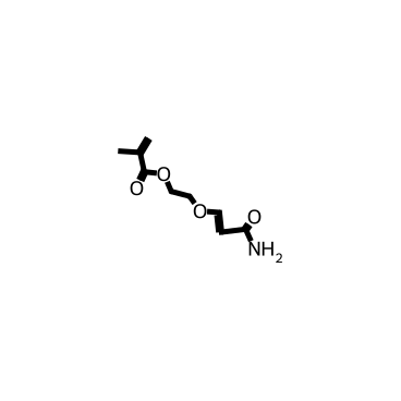 C=C(C)C(=O)OCCO/C=C/C(N)=O